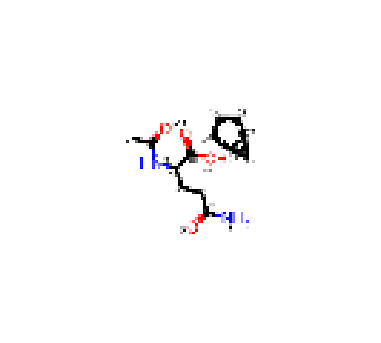 CC(=O)NC(CCC(N)=O)C(=O)O.c1cc2cc-2c1